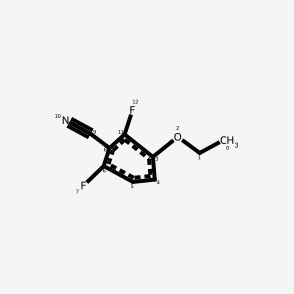 CCOc1ccc(F)c(C#N)c1F